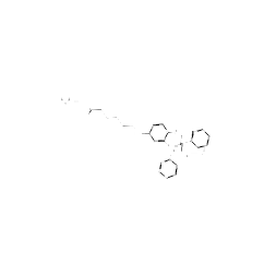 COC(=O)CCCCCOc1ccc2c(c1)N(c1ccccc1)[C@@](NC(C)=O)(c1ccccc1)N2